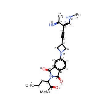 CNC(=O)C(CCC=O)N1C(=O)c2ccc(N3CC(C#C/C(=C/NC(C)(C)C)C(=N)C#N)C3)cc2C1=O